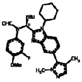 CCCC[C@@H](c1nc2cc(-c3c(C)cnn3C)ccc2n1C1CCCCC1)N(C=O)c1ccc(OC)c(F)c1